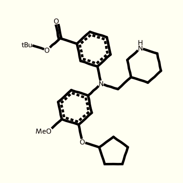 COc1ccc(N(CC2CCCNC2)c2cccc(C(=O)OC(C)(C)C)c2)cc1OC1CCCC1